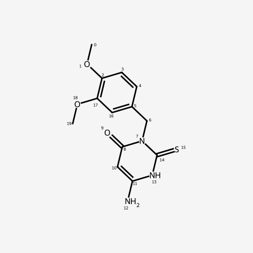 COc1ccc(Cn2c(=O)cc(N)[nH]c2=S)cc1OC